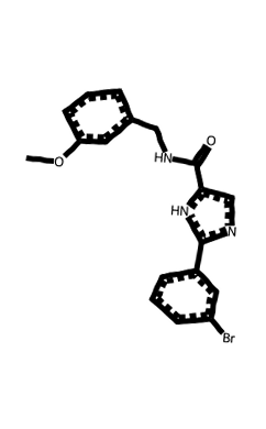 COc1cccc(CNC(=O)c2cnc(-c3cccc(Br)c3)[nH]2)c1